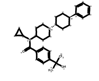 CC(O)(c1ccc(C(=O)N(C2CC2)C2CCN([C@H]3CC[C@H](c4ccccc4)CC3)CC2)cc1)C(F)(F)F